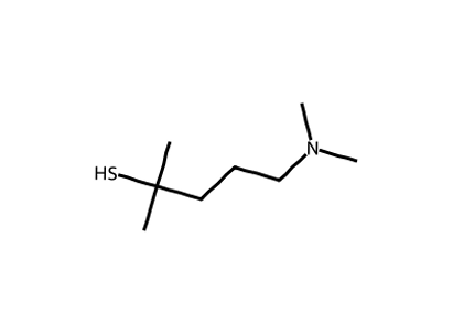 CN(C)CCCC(C)(C)S